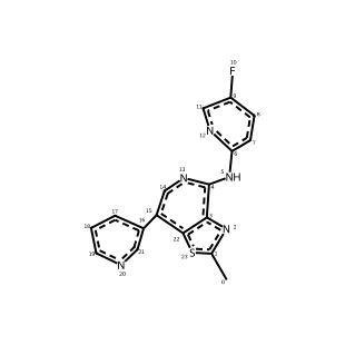 Cc1nc2c(Nc3ccc(F)cn3)ncc(-c3cccnc3)c2s1